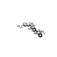 CC(C)CCCC(C)NC(=O)c1ccc(C(=O)Nc2ccccc2N)cn1